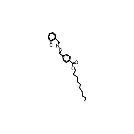 CCCCCCCCCCOC(=O)c1ccc(C=NN=Cc2ccccc2Cl)cc1